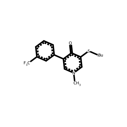 CCC(C)Sc1cn(C)cc(-c2cccc(C(F)(F)F)c2)c1=O